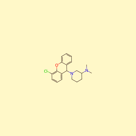 CN(C)C1CCCN(C2c3ccccc3Oc3c(Cl)cccc32)C1